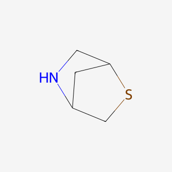 C1SC2CNC1C2